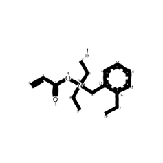 C=CC(=O)O[N+](CC)(CC)Cc1ccccc1CC.[I-]